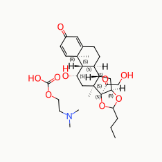 CCCC1O[C@@H]2C[C@H]3[C@@H]4CCC5=CC(=O)C=C[C@]5(C)[C@H]4[C@@H](O)C[C@]3(C)[C@]2(C(=O)CO)O1.CN(C)CCOC(=O)O